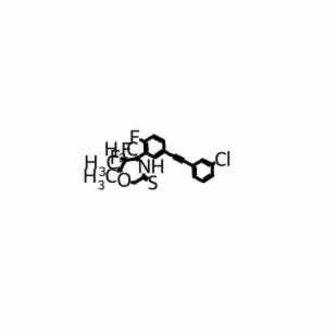 CC1(C)OCC(=S)NC(C)(c2cc(C#Cc3cccc(Cl)c3)ccc2F)C1(F)F